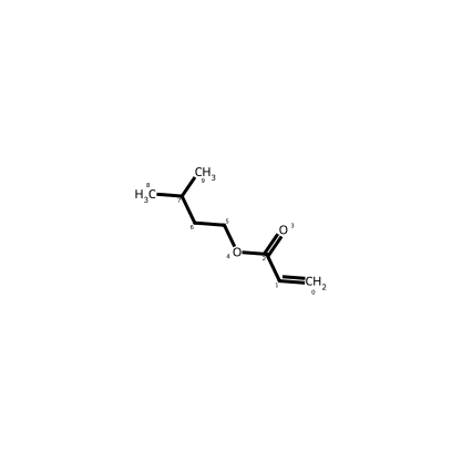 C=CC(=O)OCC[C](C)C